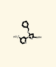 CNc1cc(OCc2ccccc2)n(-c2cc(C(=O)O)ccn2)n1